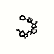 C[C@]1(Cn2cnc3ccc(C#N)cc32)CCC[C@@]2(CN(c3cc(-c4ccccc4)no3)C(=O)O2)C1